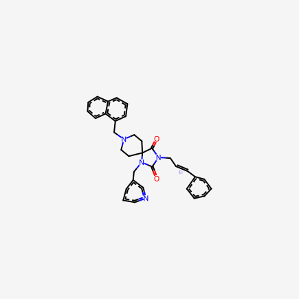 O=C1N(C/C=C/c2ccccc2)C(=O)C2(CCN(Cc3cccc4ccccc34)CC2)N1Cc1cccnc1